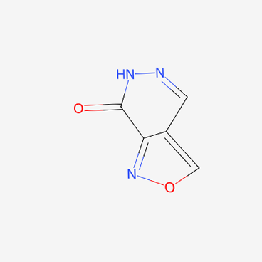 O=c1[nH]ncc2conc12